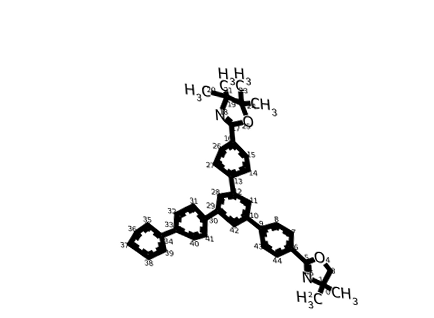 CC1(C)COC(c2ccc(-c3cc(-c4ccc(C5=NC(C)(C)C(C)(C)O5)cc4)cc(-c4ccc(-c5ccccc5)cc4)c3)cc2)=N1